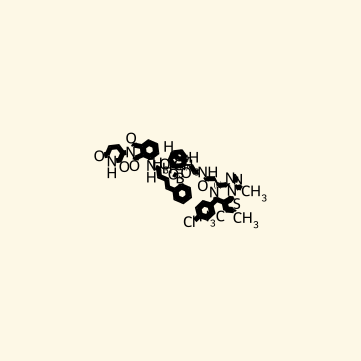 Cc1sc2c(c1C)C(c1ccc(Cl)cc1)=N[C@@H](CC(=O)NCC[C@]13OB(c4ccccc4CCCC(=O)Nc4cccc5c4C(=O)N(C4CCC(=O)NC4=O)C5=O)O[C@@H]1C[C@H]1C[C@@H]3C1(C)C)c1nnc(C)n1-2